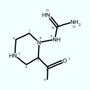 CC(=O)C1CNCCN1NC(=N)N